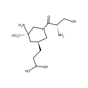 N[C@@H](CO)C(=O)N1C[C@@H](CCB(O)O)C[C@](N)(C(=O)O)C1